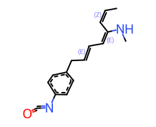 C\C=C/C(=C\C=C\Cc1ccc(N=C=O)cc1)NC